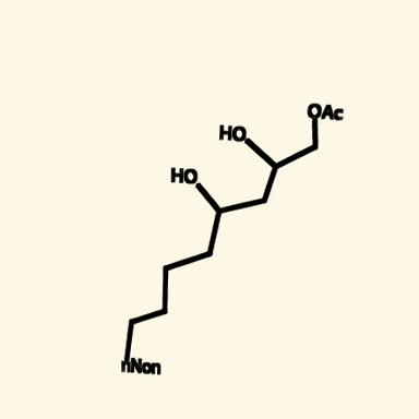 CCCCCCCCCCCCCC(O)CC(O)COC(C)=O